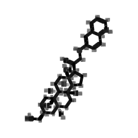 C[C@]12CC[C@H](CO)C[C@@H]1CC[C@@H]1[C@@H]2CC[C@]2(C)[C@@H](C(=O)COc3ccc4ncccc4c3)CC[C@@H]12